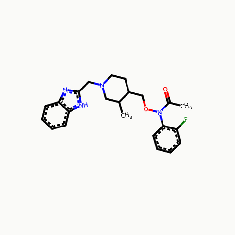 CC(=O)N(OCC1CCN(Cc2nc3ccccc3[nH]2)CC1C)c1ccccc1F